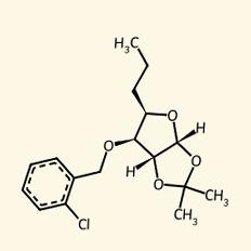 CCC[C@H]1O[C@@H]2OC(C)(C)O[C@@H]2[C@H]1OCc1ccccc1Cl